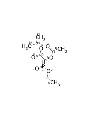 CCO[PH](=O)C(OC(C)=O)C(=O)OC(C)C